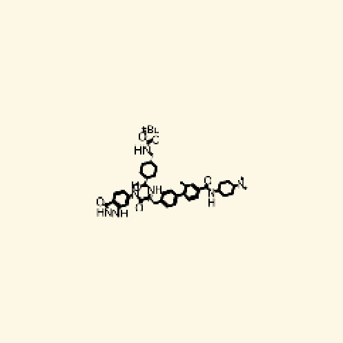 Cc1cc(C(=O)NC2CCC(N(C)C)CC2)ccc1-c1ccc(C[C@H](NC(=O)[C@H]2CC[C@H](CNC(=O)OC(C)(C)C)CC2)C(=O)Nc2ccc3c(=O)[nH][nH]c3c2)cc1